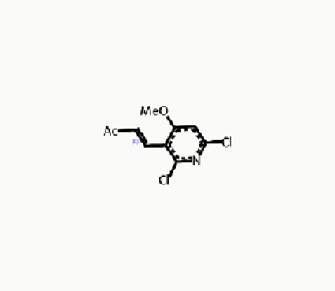 COc1cc(Cl)nc(Cl)c1/C=C/C(C)=O